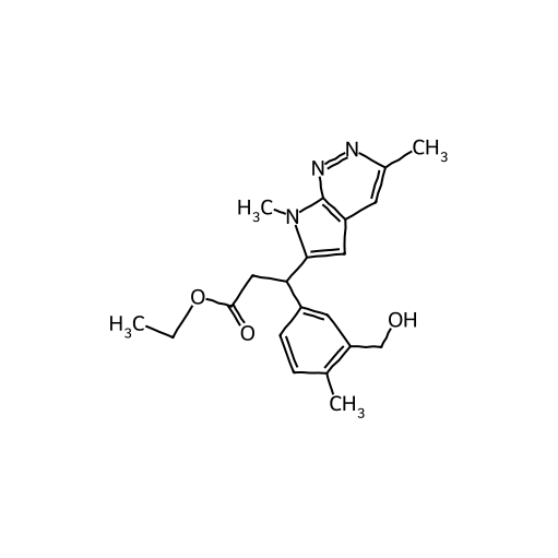 CCOC(=O)CC(c1ccc(C)c(CO)c1)c1cc2cc(C)nnc2n1C